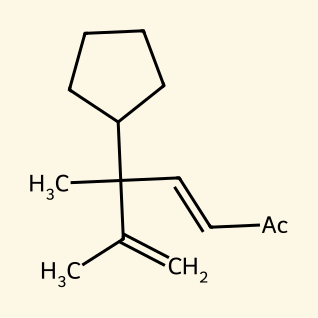 C=C(C)C(C)(C=CC(C)=O)C1CCCC1